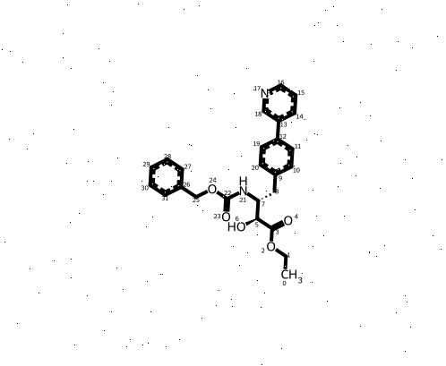 CCOC(=O)[C@@H](O)[C@@H](Cc1ccc(-c2cccnc2)cc1)NC(=O)OCc1ccccc1